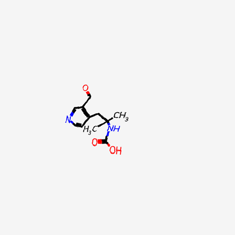 CC(C)(Cc1ccncc1C=O)NC(=O)O